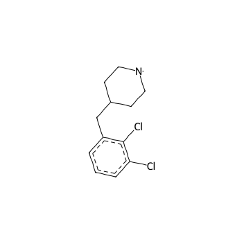 Clc1cccc(CC2CC[N]CC2)c1Cl